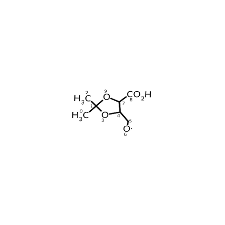 CC1(C)OC(C[O])C(C(=O)O)O1